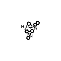 CC12C=CC=CC1=CC(P(=O)(c1ccc3ccccc3c1)c1ccc3c(c1)c1ccccc1n1c4ccccc4nc31)=CC2